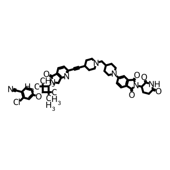 CC1(C)[C@H](Oc2ccc(C#N)c(Cl)c2)C(C)(C)[C@H]1N1Cc2nc(C#CC3CCN(CC4CCN(c5ccc6c(c5)C(=O)N(C5CCC(=O)NC5=O)C6=O)CC4)CC3)ccc2C1=O